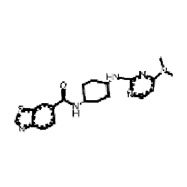 CN(C)c1ccnc(N[C@H]2CC[C@@H](NC(=O)c3ccc4ncsc4c3)CC2)n1